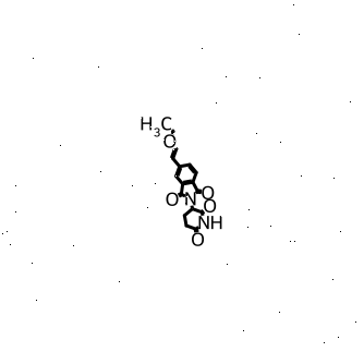 CCO/C=C/c1ccc2c(c1)C(=O)N(C1CCC(=O)NC1=O)C2=O